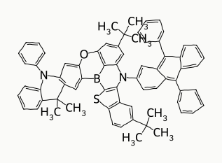 CC(C)(C)c1cc2c3c(c1)N(c1ccc4c(-c5ccccc5)c5ccccc5c(-c5ccccc5)c4c1)c1c(sc4ccc(C(C)(C)C)cc14)B3c1cc3c(cc1O2)N(c1ccccc1)c1ccccc1C3(C)C